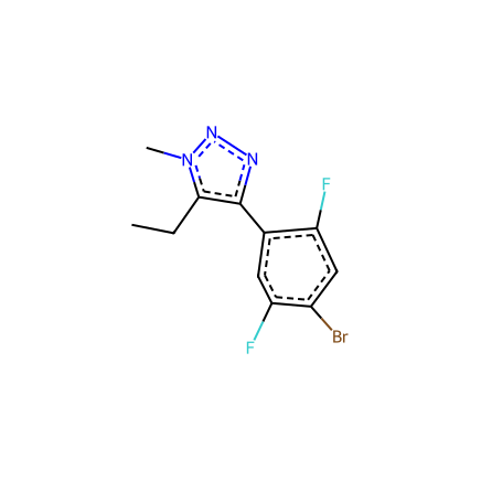 CCc1c(-c2cc(F)c(Br)cc2F)nnn1C